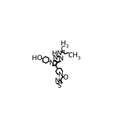 CCC[C@H](C)Nc1ncc2c(C3CCN(C(=O)c4cscn4)CC3)cn([C@H]3CC[C@H](O)CC3)c2n1